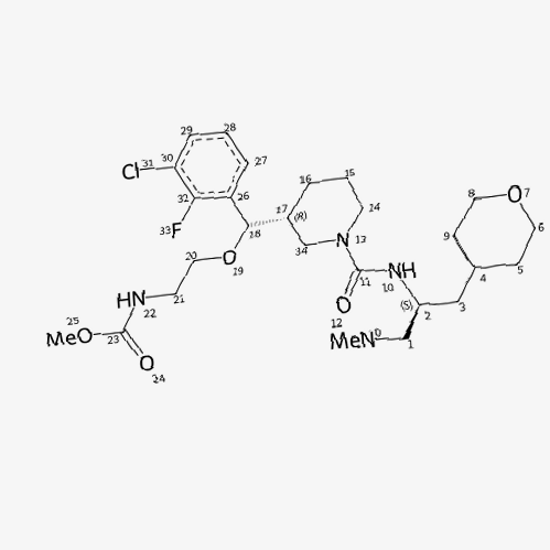 CNC[C@H](CC1CCOCC1)NC(=O)N1CCC[C@@H](C(OCCNC(=O)OC)c2cccc(Cl)c2F)C1